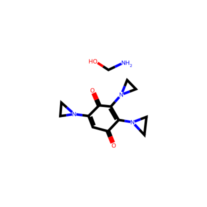 NCO.O=C1C=C(N2CC2)C(=O)C(N2CC2)=C1N1CC1